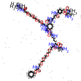 CC(C)[C@H](NC(=O)[C@@H](CCCCNC(=O)COC1CCCC(N(CCCCC(=O)Nc2ccc(COC(=O)N(C)[C@H](C(N)=O)C(C)C)cc2)C(N)=O)C/C(NCCOCCOCCOCCOCCC(=O)NCC[N+](C)(C)C)=C\1NN)NC(=O)CCOCCOCCOCCOCCNC(=O)COC1C#CCCCCC1)C(N)=O